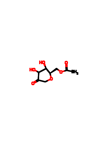 BC(=O)OC[C@H]1OCC(=O)C(O)[C@H]1O